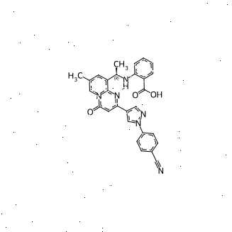 Cc1cc([C@@H](C)Nc2ccccc2C(=O)O)c2nc(-c3cnn(-c4ccc(C#N)cc4)c3)cc(=O)n2c1